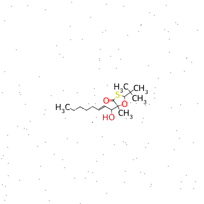 CCCCCC=CC(O)C1(C)OC(C(C)(C)C)SC1=O